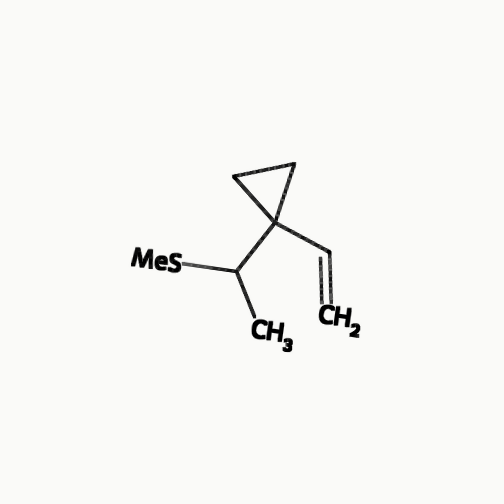 C=CC1(C(C)SC)CC1